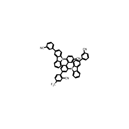 N#Cc1cccc(-c2ccc3c(c2)c2ccccc2n3-c2ccc(C#N)cc2-c2ccc(-c3ccc(C(F)(F)F)cc3C#N)cc2-n2c3ccccc3c3cc(-c4cccc(C#N)c4)ccc32)c1